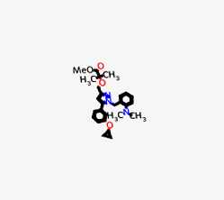 COC(=O)C(C)(C)OCc1cc(-c2cccc(OC3CC3)c2)n(Cc2ccccc2N(C)C)n1